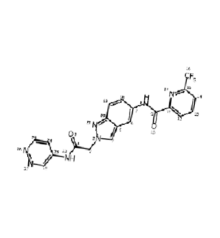 O=C(Cn1cc2cc(NC(=O)c3cccc(C(F)(F)F)n3)ccc2n1)Nc1ccnnc1